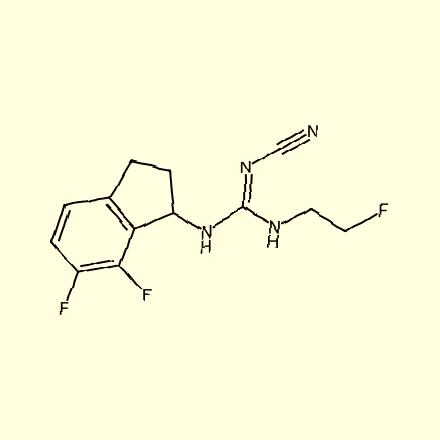 N#CN=C(NCCF)NC1CCc2ccc(F)c(F)c21